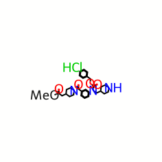 COC(=O)CC1CCN(C(=O)c2cccc(N(CC3CCNCC3)C(=O)OCc3ccccc3)c2)CC1.Cl